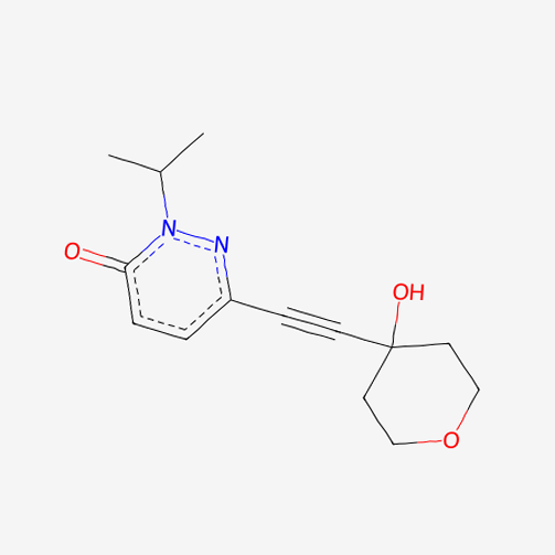 CC(C)n1nc(C#CC2(O)CCOCC2)ccc1=O